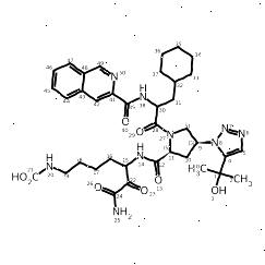 CC(C)(O)c1cnnn1[C@H]1C[C@@H](C(=O)NC(CCCCNC(=O)O)C(=O)C(N)=O)N(C(=O)C(CC2CCCCC2)NC(=O)c2cc3ccccc3cn2)C1